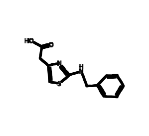 O=C(O)Cc1csc(NCc2ccccc2)n1